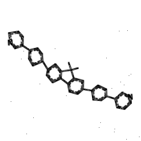 CC1(C)c2cc(-c3ccc(-c4cccnc4)cc3)ccc2-c2ccc(-c3ccc(-c4cccnc4)cc3)cc21